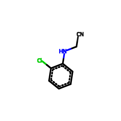 N#CCNc1ccccc1Cl